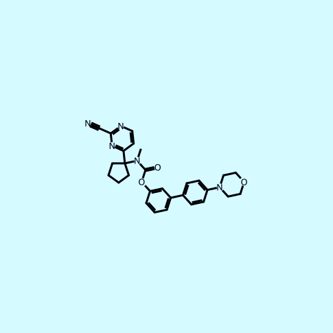 CN(C(=O)Oc1cccc(-c2ccc(N3CCOCC3)cc2)c1)C1(c2ccnc(C#N)n2)CCCC1